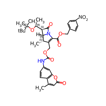 Cc1cc(=O)oc2cc(NC(=O)OCC3=C(C(=O)OCc4ccc([N+](=O)[O-])cc4)N4C(=O)[C@H]([C@@H](C)O[Si](C)(C)C(C)(C)C)[C@H]4[C@H]3C)ccc12